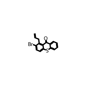 C=CCc1c(Br)ccc2sc3ccccc3c(=O)c12